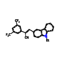 CCn1c2ccccc2c2cc(/C=C(\C#N)c3cc(C(F)(F)F)cc(C(F)(F)F)c3)ccc21